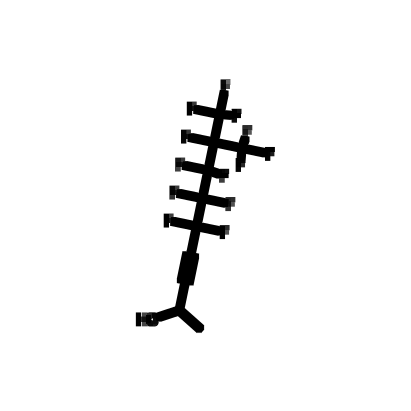 CC(O)C#CC(F)(F)C(F)(F)C(F)(F)C(F)(C(F)(F)F)C(F)(F)F